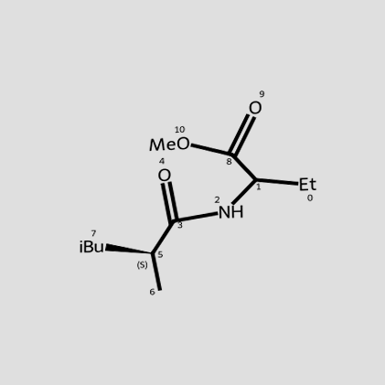 CCC(NC(=O)[C@@H](C)C(C)CC)C(=O)OC